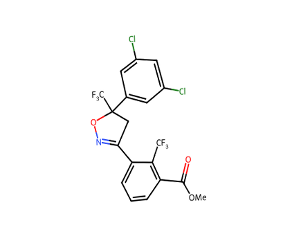 COC(=O)c1cccc(C2=NOC(c3cc(Cl)cc(Cl)c3)(C(F)(F)F)C2)c1C(F)(F)F